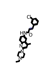 CCN1CCN(c2cc(C)c3cc(NC(=O)/C=C/c4cccc(Cl)c4)ccc3n2)CC1